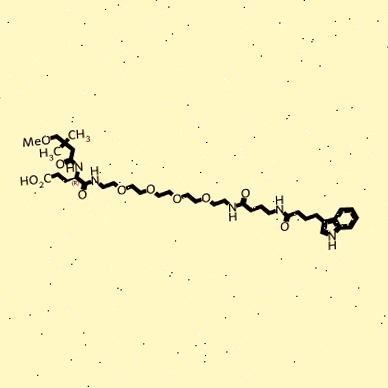 COCC(C)(C)CC(=O)N[C@H](CCC(=O)O)C(=O)NCCOCCOCCOCCOCCNC(=O)CCCNC(=O)CCCc1c[nH]c2ccccc12